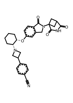 N#Cc1ccc(C2CN([C@@H]3CCCC[C@@H]3Oc3ccc4c(c3)CN(C35CC(C3)C(=O)NC5=O)C4=O)C2)cc1